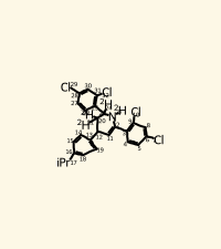 [2H]N1C(c2ccc(Cl)cc2Cl)=CC(c2ccc(C(C)C)cc2)C([2H])([2H])C1([2H])c1ccc(Cl)cc1Cl